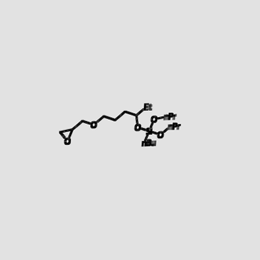 CCCC[Si](OCCC)(OCCC)OC(CC)CCCOCC1CO1